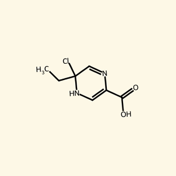 CCC1(Cl)C=NC(C(=O)O)=CN1